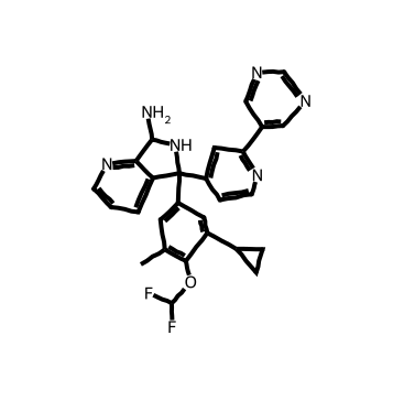 Cc1cc(C2(c3ccnc(-c4cncnc4)c3)NC(N)c3ncccc32)cc(C2CC2)c1OC(F)F